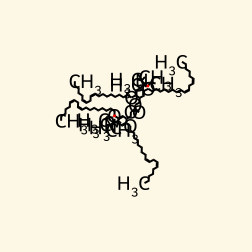 CCCCC/C=C\C/C=C\CCCCCCCCOC1=CC(C)(C(CCC)N(C)C)C(OCCCCCCCC/C=C\C/C=C\CCCCC)=CC1COC(=O)OCC1C=C(OCCCCCCCC/C=C\C/C=C\CCCCC)C(C)(C(CCC)N(C)C)C=C1OCCCCCCCC/C=C\C/C=C\CCCCC